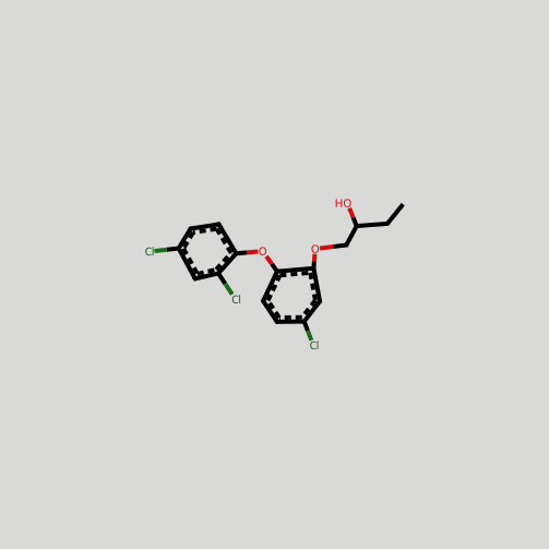 CCC(O)COc1cc(Cl)ccc1Oc1ccc(Cl)cc1Cl